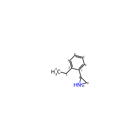 CCc1ccccc1C1CN1